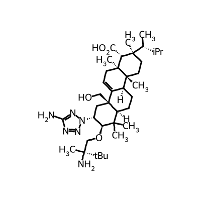 CC(C)[C@@H](C)[C@@]1(C)CC[C@]2(C)[C@H]3CC[C@H]4C(C)(C)[C@@H](OC[C@](C)(N)C(C)(C)C)[C@H](n5nnc(N)n5)C[C@]4(CO)C3=CC[C@@]2(C)[C@@H]1C(=O)O